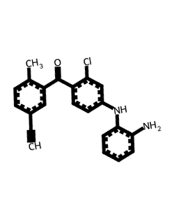 C#Cc1ccc(C)c(C(=O)c2ccc(Nc3ccccc3N)cc2Cl)c1